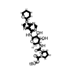 C[C@@H]1O[C@H](Nc2ncnc3c2ncn3C2CCCCO2)[C@@H](O)[C@H](O)[C@H]1NC(=O)[C@H]1CCCN1C(=O)OC(C)(C)C